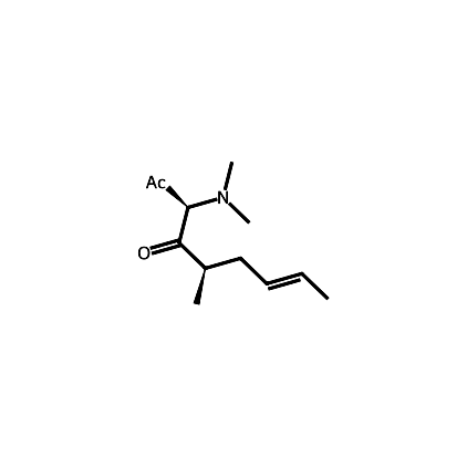 CC=CC[C@@H](C)C(=O)[C@@H](C(C)=O)N(C)C